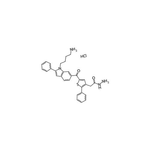 Cl.NCCCCn1c(-c2ccccc2)cc2ccc(C(=O)c3cc(CC(=O)NN)c(-c4ccccc4)s3)cc21